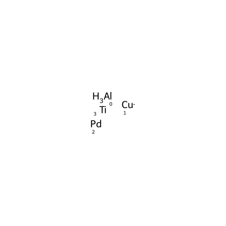 [AlH3].[Cu].[Pd].[Ti]